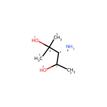 CC(O)CC(C)(C)O.N